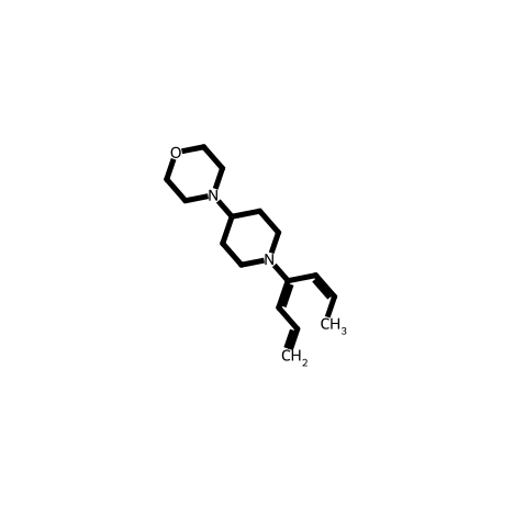 C=C/C=C(\C=C/C)N1CCC(N2CCOCC2)CC1